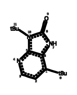 CC(C)(C)c1ccnc2c1[nH]c(=O)n2C(C)(C)C